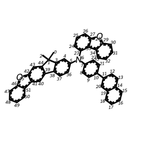 CC1(C)c2cc(N(c3ccc(-c4ccc5ccccc5c4)cc3)c3cccc4oc5ccccc5c34)ccc2-c2cc3c(cc21)oc1ccccc13